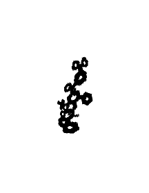 COC(=O)c1cccc(C(=O)N2CCC(CN(C(=O)OC(C)(C)C)[C@H](C)c3cccc4ccccc34)C(c3ccccc3)C2)c1